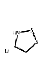 C1CSSN1.[Li]